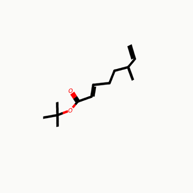 C=CC(C)CCC=CC(=O)OC(C)(C)C